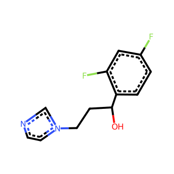 OC(CCn1ccnc1)c1ccc(F)cc1F